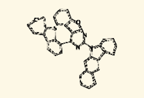 c1ccc2cc3c(cc2c1)c1ccccc1n3-c1nc(-c2cccc3c2sc2ccccc23)c2c(n1)oc1ccccc12